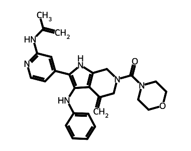 C=C(C)Nc1cc(-c2[nH]c3c(c2Nc2ccccc2)C(=C)CN(C(=O)N2CCOCC2)C3)ccn1